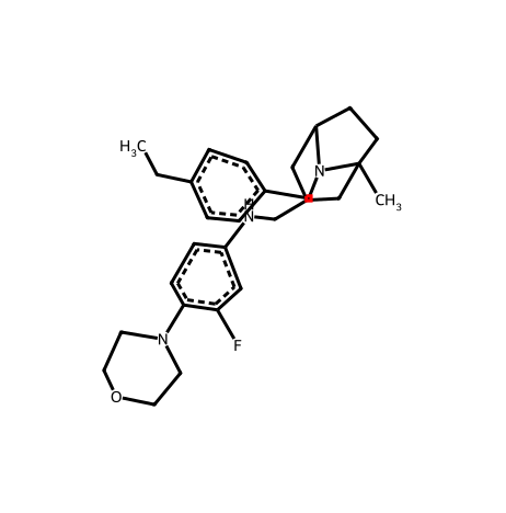 CCc1ccc(CN2C3CCC2(C)CC(CNc2ccc(N4CCOCC4)c(F)c2)C3)cc1